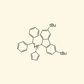 CC(C)(C)c1ccc2c(c1)-c1cc(C(C)(C)C)ccc1[CH]2[Hf](=[C](c1ccccc1)c1ccccc1)[CH]1C=CC=C1